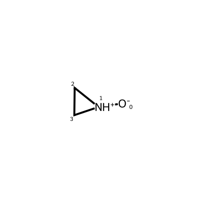 [O-][NH+]1CC1